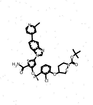 Cc1cc(-c2ccc3c(c2)ncn3-c2cc(O[C@H](C)c3cccc(OC4CCN(C(=O)OC(C)(C)C)CC4)c3Cl)c(C(N)=O)s2)ccn1